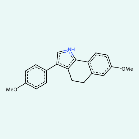 COc1ccc(-c2c[nH]c3c2CCc2cc(OC)ccc2-3)cc1